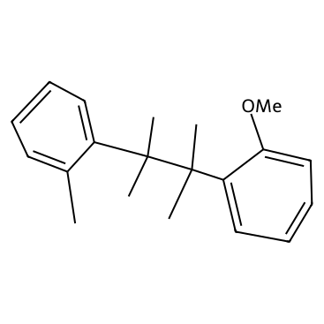 COc1ccccc1C(C)(C)C(C)(C)c1ccccc1C